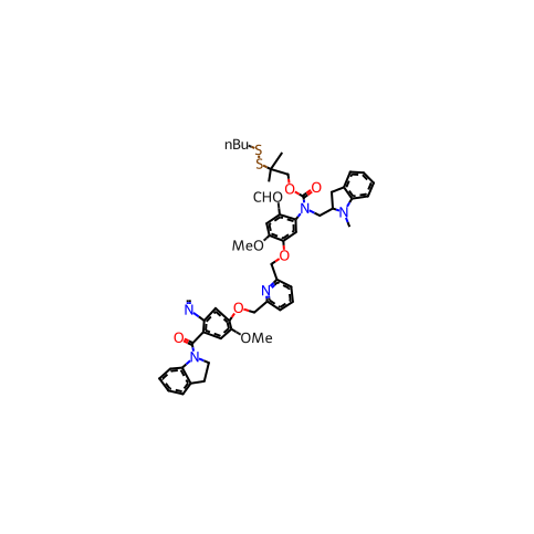 C=Nc1cc(OCc2cccc(COc3cc(N(CC4Cc5ccccc5N4C)C(=O)OCC(C)(C)SSCCCC)c(C=O)cc3OC)n2)c(OC)cc1C(=O)N1CCc2ccccc21